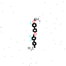 C=Cc1ccc(-c2ccc(COC3CCC(c4ccc(OCC)c(F)c4)CC3)c(F)c2F)cc1